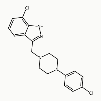 Clc1ccc(N2CCN(Cc3n[nH]c4c(Cl)cccc34)CC2)cc1